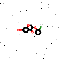 O=c1c(Oc2ccccc2F)coc2cc(O)ccc12